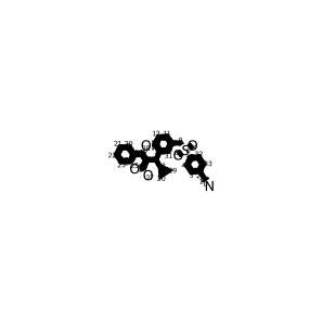 N#Cc1ccc(S(=O)(=O)Cc2cccc(C(c3c(O)c4ccccc4oc3=O)C3CC3)c2)cc1